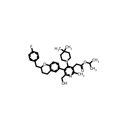 Cc1nc(CO)c(-c2ccc3c(c2)CCC(Cc2ccc(F)cc2)O3)c(N2CCC(C)(C)CC2)c1CC(=O)OC(C)C